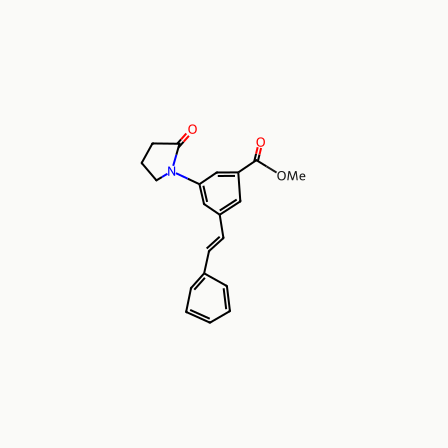 COC(=O)c1cc(/C=C/c2ccccc2)cc(N2CCCC2=O)c1